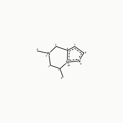 CC1CN(C)Cc2ccnn21